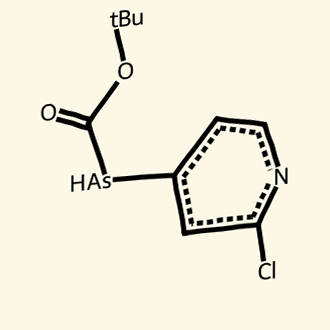 CC(C)(C)OC(=O)[AsH]c1ccnc(Cl)c1